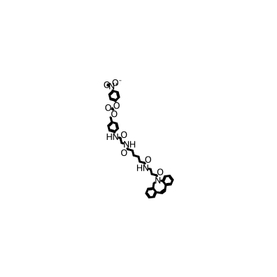 O=C(CCCCC(=O)NCC(=O)Nc1ccc(COC(=O)Oc2ccc([N+](=O)[O-])cc2)cc1)NCCC(=O)N1Cc2ccccc2C#Cc2ccccc21